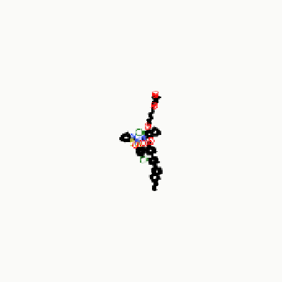 CCCc1ccc2cc(-c3ccc(-c4ccc(C(=O)Oc5c(/C=N/N(c6nc7ccccc7s6)S(=O)(=O)c6ccc(C)cc6)c(Cl)c(OCCCCCCOCC6(C)COC6)c6ccccc56)cc4)c(Cl)c3)ccc2c1